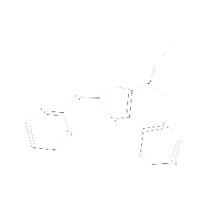 CC(C)OC(=O)c1sc(Nc2ncccn2)nc1-c1ccncn1